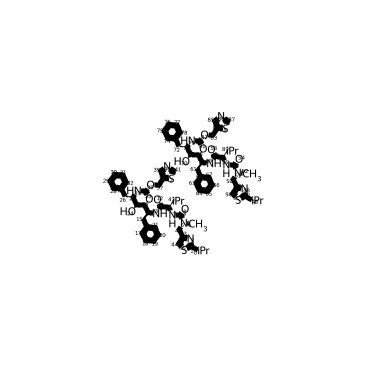 CC(C)c1nc(CN(C)C(=O)N[C@H](C(=O)N[C@@H](Cc2ccccc2)C[C@H](O)[C@H](Cc2ccccc2)NC(=O)OCc2cncs2)C(C)C)cs1.CC(C)c1nc(CN(C)C(=O)N[C@H](C(=O)N[C@@H](Cc2ccccc2)C[C@H](O)[C@H](Cc2ccccc2)NC(=O)OCc2cncs2)C(C)C)cs1